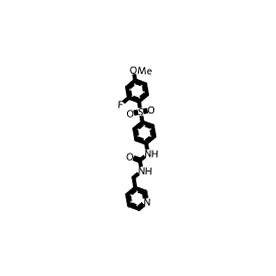 COc1ccc(S(=O)(=O)c2ccc(NC(=O)NCc3cccnc3)cc2)c(F)c1